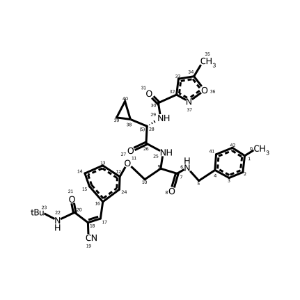 Cc1ccc(CNC(=O)C(COc2cccc(C=C(C#N)C(=O)NC(C)(C)C)c2)NC(=O)[C@@H](NC(=O)c2cc(C)on2)C2CC2)cc1